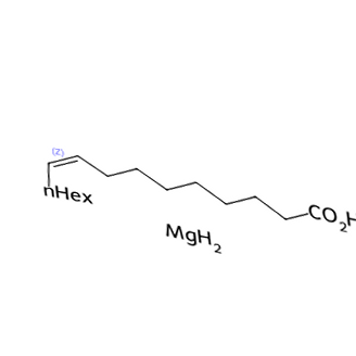 CCCCCC/C=C\CCCCCCCC(=O)O.[MgH2]